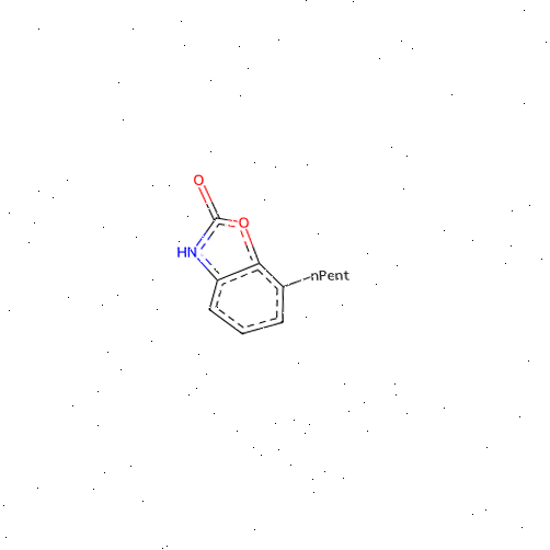 CCCCCc1cccc2[nH]c(=O)oc12